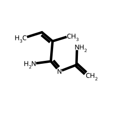 C=C(N)/N=C(N)\C(C)=C/C